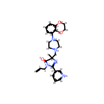 C=CCN1C(=O)C(C)(CN2CCN(c3cccc4c3OCCO4)CC2)N=C1c1cccnc1